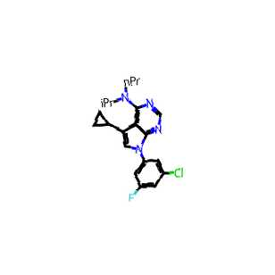 CCCN(c1ncnc2c1c(C1CC1)cn2-c1cc(F)cc(Cl)c1)C(C)C